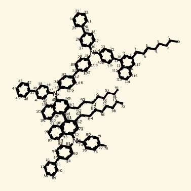 CCCCCCCCc1cc(-c2ccc(N(c3ccc(-c4ccccc4)cc3)c3ccc(-c4ccc(N(c5ccc(-c6ccccc6)cc5)c5cc(CCCCCCCC)c(-c6c(CCCCCCCC)cc(N(c7ccc(C)cc7)c7ccc(-c8ccccc8)cc7)c7ccccc67)c6ccccc56)cc4)cc3)cc2)c2ccccc2c1